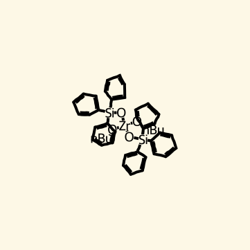 CCCC[O][Zr]([O]CCCC)([O][Si](c1ccccc1)(c1ccccc1)c1ccccc1)[O][Si](c1ccccc1)(c1ccccc1)c1ccccc1